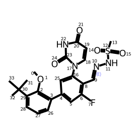 COc1c(-c2cc(F)c(/C=N/NS(C)(=O)=O)c(-n3ccc(=O)[nH]c3=O)c2)cccc1C(C)(C)C